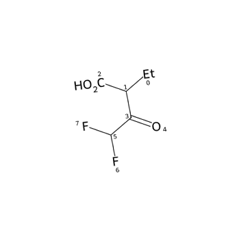 CCC(C(=O)O)C(=O)C(F)F